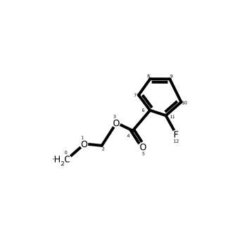 [CH2]OCOC(=O)c1ccccc1F